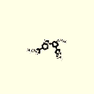 CC(=O)Nc1cc(-c2cnn(C)c2)cc(-n2cnc3cc(-c4cnn(C)c4)ccc32)c1